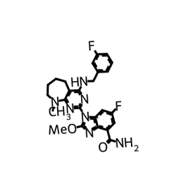 COc1nc2c(C(N)=O)cc(F)cc2n1-c1nc(NCc2cccc(F)c2)c2c(n1)N(C)CCCC2